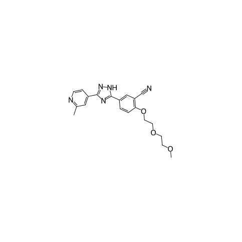 COCCOCCOc1ccc(-c2nc(-c3ccnc(C)c3)n[nH]2)cc1C#N